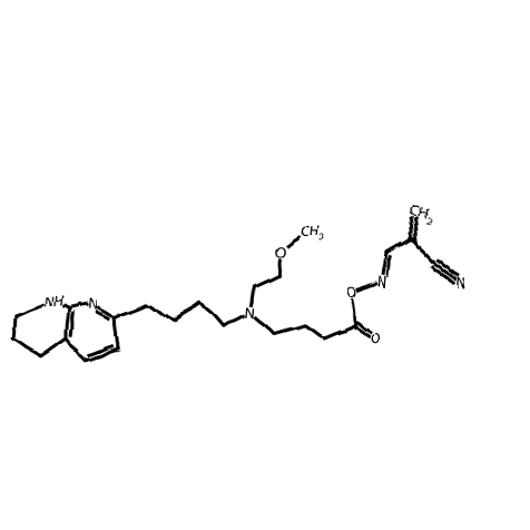 C=C(C#N)/C=N/OC(=O)CCCN(CCCCc1ccc2c(n1)NCCC2)CCOC